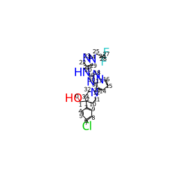 OCC1(c2ccc(Cl)cc2)CCN(c2cccn3nc(Nc4cnn(CC(F)F)c4)nc23)CC1